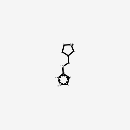 c1cc(OCC2CCNC2)ns1